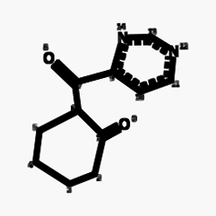 O=C1CCCCC1C(=O)c1ccncn1